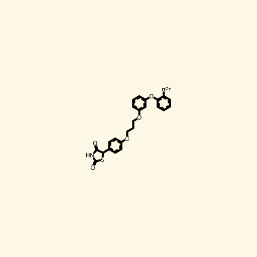 CCCc1ccccc1Oc1cccc(OCCCOc2ccc(C3SC(=O)NC3=O)cc2)c1